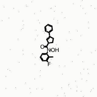 Cc1c(F)cccc1N(O)C(=O)C1C=C(c2ccccc2)CC1